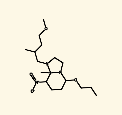 CCCOC1CCC([N+](=O)[O-])C2(C)N(CC(C)CCOC)CCN12